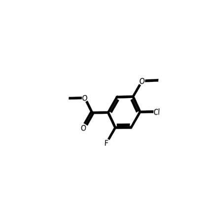 COC(=O)c1cc(OC)c(Cl)cc1F